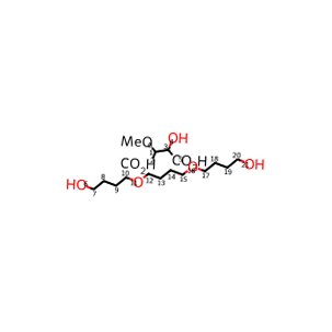 COC(C(=O)O)C(O)C(=O)O.OCCCCOCCCCOCCCCO